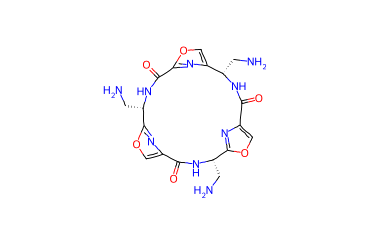 NC[C@@H]1NC(=O)c2coc(n2)[C@H](CN)NC(=O)c2coc(n2)[C@H](CN)NC(=O)c2nc1co2